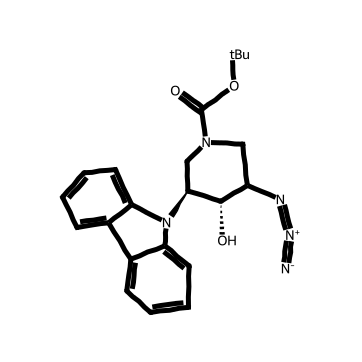 CC(C)(C)OC(=O)N1CC(N=[N+]=[N-])[C@H](O)[C@@H](n2c3ccccc3c3ccccc32)C1